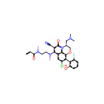 C=CC(=O)N(I)CCN(I)c1c(C#N)c(=O)n2c3c(c(-c4c(O)cccc4F)c(Cl)cc13)OC[C@@H]2CN(C)C